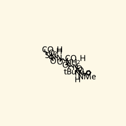 CN[C@H](C(=O)NC(C(=O)N(C)C/C=C(\C)C(=O)NC(CCC(=O)NCCN1C(=O)CC(SCCC(=O)O)C1=O)C(=O)O)C(C)(C)C)C(C)(C)c1ccccc1